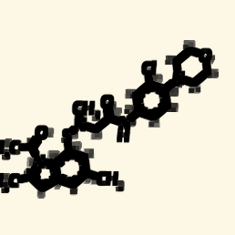 CC(=O)n1c(C)cc2cc(C)cc(SN(C)CC(=O)Nc3ccc(N4CCOCC4)c(Cl)c3)c21